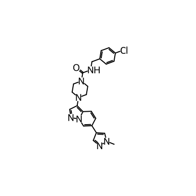 Cn1cc(-c2ccc3c(N4CCN(C(=O)NCc5ccc(Cl)cc5)CC4)cnn3c2)cn1